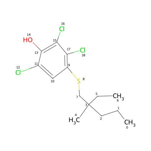 CCCC(C)(CC)CSc1cc(Cl)c(O)c(Cl)c1Cl